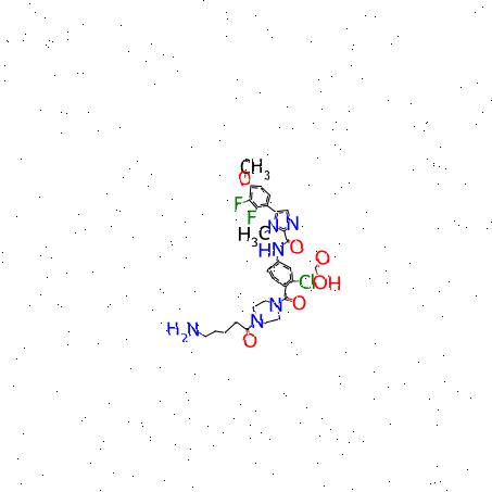 COc1ccc(-c2cnc(C(=O)Nc3ccc(C(=O)N4CCN(C(=O)CCCCN)CC4)c(Cl)c3)n2C)c(F)c1F.O=CO